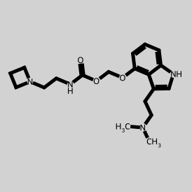 CN(C)CCc1c[nH]c2cccc(OCOC(=O)NCCN3CCC3)c12